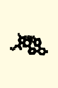 COC(=O)c1cc(F)cc2c1NC(c1cccc(N3CCNCC3c3ccc(C)cc3)c1)CC2(C)C